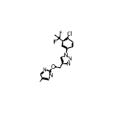 Cc1cnc(OCc2cn(-c3ccc(Cl)c(C(C)(F)F)c3)nn2)nc1